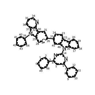 c1ccc(-c2cc(-c3ccccc3)nc(-n3c4ccccc4c4ccc(-c5ccc6c(c5)c5ncccc5n6-c5ccccc5)cc43)n2)cc1